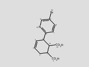 O=C(O)C1CC=CC(c2ccc(Br)cn2)C1C(=O)O